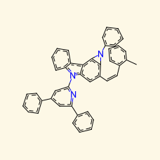 Cc1ccccc1/C=C\c1cc2c(c3c1N3c1ccccc1)c1ccccc1n2-c1cc(-c2ccccc2)cc(-c2ccccc2)n1